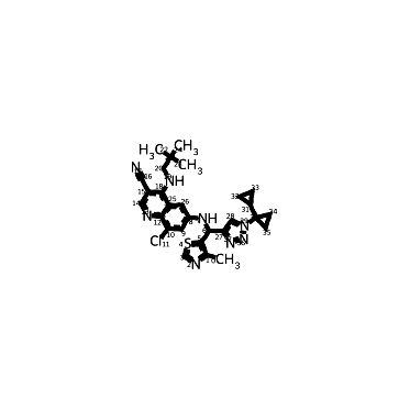 Cc1ncsc1C(Nc1cc(Cl)c2ncc(C#N)c(NCC(C)(C)C)c2c1)c1cn(C2(C3CC3)CC2)nn1